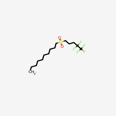 [CH2]CCCCCCCCCS(=O)(=O)CCCC(F)(F)C(F)(F)F